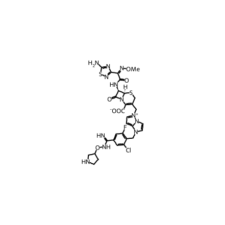 CO/N=C(\C(=O)N[C@@H]1C(=O)N2C(C(=O)[O-])=C(C[n+]3ccc4n(Cc5c(F)cc(C(=N)NOC6CCNC6)cc5Cl)ccn43)CS[C@H]12)c1nsc(N)n1